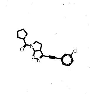 O=C(C1CCCC1)N1CCC2C(C#Cc3cccc(Cl)c3)=NOC21